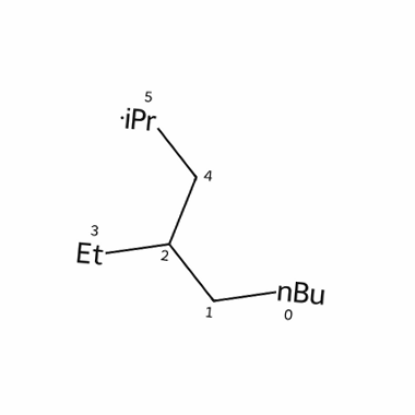 CCCCCC(CC)C[C](C)C